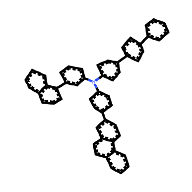 c1ccc(-c2ccc(-c3ccc(N(c4ccc(-c5ccc6c(ccc7ccccc76)c5)cc4)c4cccc(-c5cccc6ccccc56)c4)cc3)cc2)cc1